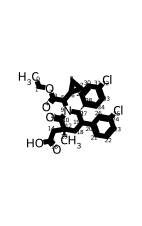 CCOC(=O)C(C1CC1)N1C(=O)[C@@](C)(CC(=O)O)CC(c2cccc(Cl)c2)[C@H]1c1ccc(Cl)cc1